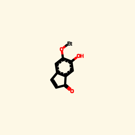 CCOc1cc2c(cc1O)C(=O)C=C2